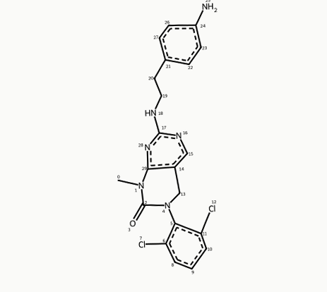 CN1C(=O)N(c2c(Cl)cccc2Cl)Cc2cnc(NCCc3ccc(N)cc3)nc21